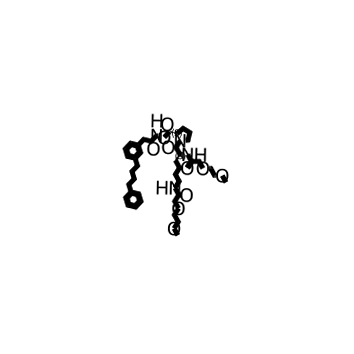 COCCOCC(=O)NCCCC[C@H](NC(=O)COCCOC)C(=O)N1CCC[C@H]1C(=O)ONC(=O)Cc1cccc(CCCCc2ccccc2)c1